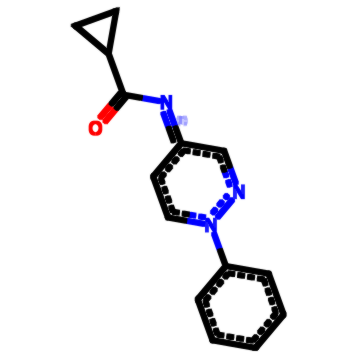 O=C(/N=c1\ccn(-c2ccccc2)nc1)C1CC1